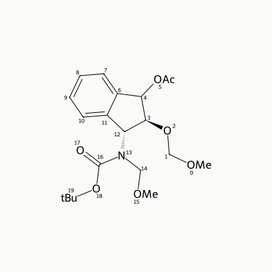 COCO[C@@H]1C(OC(C)=O)c2ccccc2[C@H]1N(COC)C(=O)OC(C)(C)C